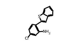 Nc1cc(Cl)ccc1-c1cc2ccccc2s1